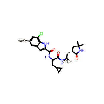 COc1cc(Cl)c2[nH]c(C(=O)NC(CC3CC3)C(=O)NC(C[C@@H]3CC(C)(C)NC3=O)C(=O)O)cc2c1